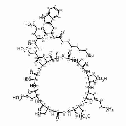 CCC(C)CCCCCCC(=O)NC(Cc1c[nH]c2ccccc12)C(=O)NC(CCC(=O)O)C(=O)NC(CC(=O)O)C(=O)NC1C(=O)N(C)CC(=O)NC(C)C(=O)NC(CC(=O)O)C(=O)NC(CCCCN)C(=O)NC(CC(=O)O)C(=O)NCC(=O)NC(CO)C(=O)NC(CCC(=O)O)C(=O)NC(C(C)CC)C(=O)OC1C